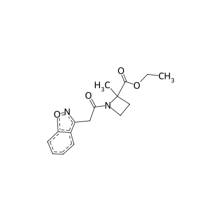 CCOC(=O)C1(C)CCN1C(=O)Cc1noc2ccccc12